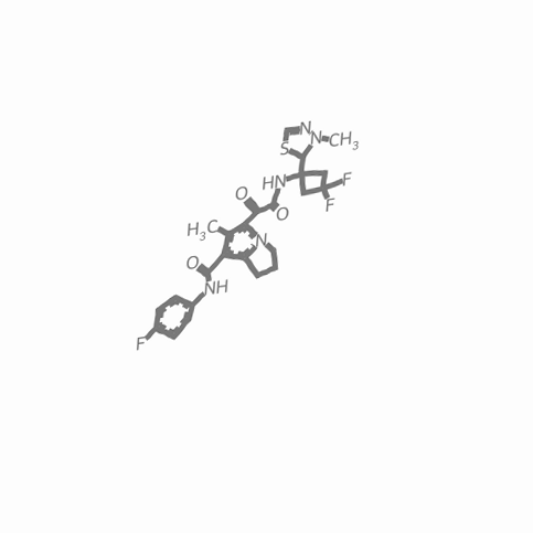 Cc1c(C(=O)Nc2ccc(F)cc2)c2n(c1C(=O)C(=O)NC1(C3SC=NN3C)CC(F)(F)C1)CCC2